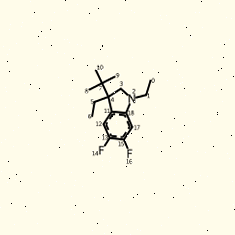 CCN1CC(CC)(C(C)(C)C)c2cc(F)c(F)cc21